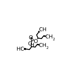 C#CCC(CC=C)O[PH](=O)OC(CC#C)CC=C